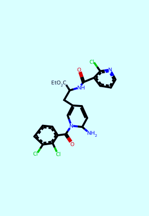 CCOC(=O)C(CC1=CN(C(=O)c2cccc(Cl)c2Cl)C(N)C=C1)NC(=O)c1cccnc1Cl